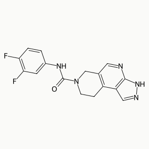 O=C(Nc1ccc(F)c(F)c1)N1CCc2c(cnc3[nH]ncc23)C1